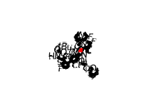 C[C@@H](Nc1nc(OC[C@@]23CCCN2C[C@H](F)C3)nc2c(F)c(-c3ccc(F)c4sc(NC(=O)OC(C)(C)C)c(C#N)c34)c(C(F)(F)F)c(OCCOC3CCCCO3)c12)c1cc(F)cnc1N